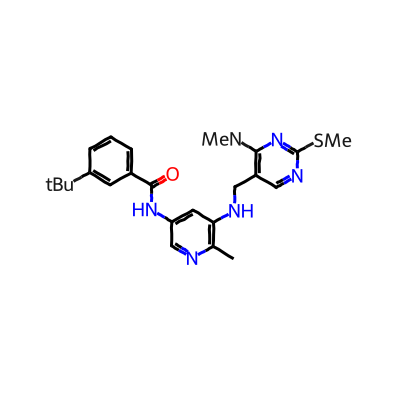 CNc1nc(SC)ncc1CNc1cc(NC(=O)c2cccc(C(C)(C)C)c2)cnc1C